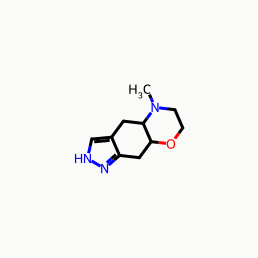 CN1CCOC2Cc3n[nH]cc3CC21